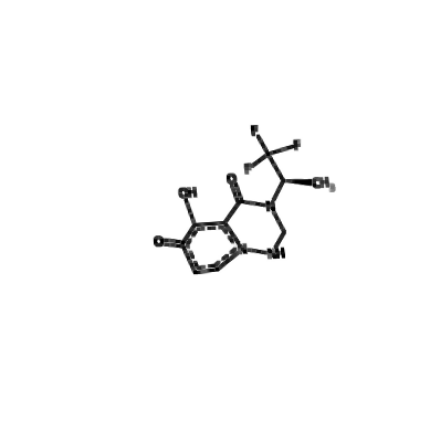 C[C@@H](N1CNn2ccc(=O)c(O)c2C1=O)C(F)(F)F